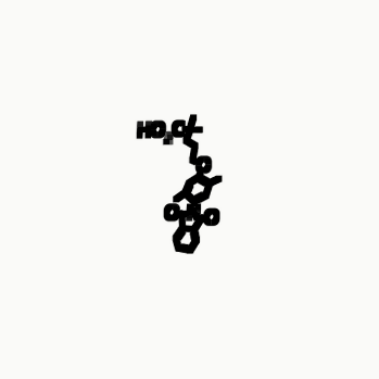 Cc1cc(N2C(=O)c3ccccc3C2=O)c(C)cc1OCCCC(C)(C)C(=O)O